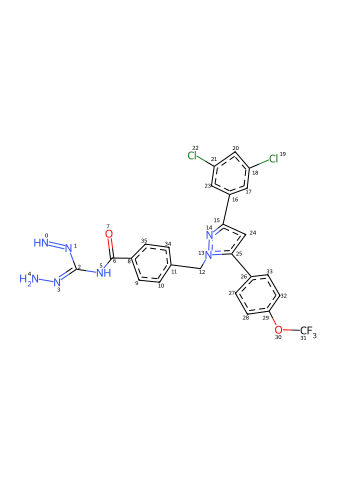 N=N/C(=N\N)NC(=O)c1ccc(Cn2nc(-c3cc(Cl)cc(Cl)c3)cc2-c2ccc(OC(F)(F)F)cc2)cc1